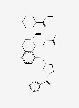 CNC(=O)C1CCCC[C@H]1C(=O)N1CCc2cccc(O[C@H]3CCN(C(=O)c4cncs4)C3)c2[C@H]1CNC(C)=O